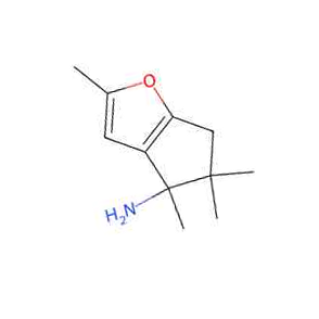 Cc1cc2c(o1)CC(C)(C)C2(C)N